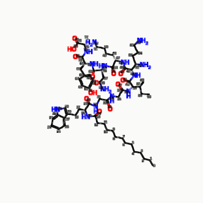 CCCCCCCCCCCCCC(=O)N[C@@H](CCc1c[nH]c2ccccc12)C(=O)NCC(=O)NCC(=O)N[C@H](C(=O)N[C@H](C(=O)N[C@@H](CCCCN)C(=O)N[C@@H](CC(N)=O)C(=O)N[C@@H](Cc1ccc(O)cc1)C(=O)N[C@@H](C)C(=O)O)C(N)CCCN)[C@@H](C)CC